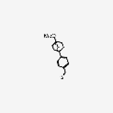 COC12CCC(c3ccc(C[S])cc3)(CC1)CC2